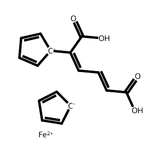 O=C(O)C=CC=C(C(=O)O)[c-]1cccc1.[Fe+2].c1cc[cH-]c1